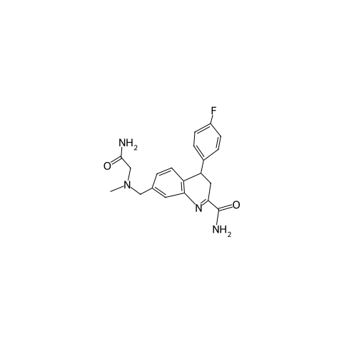 CN(CC(N)=O)Cc1ccc2c(c1)N=C(C(N)=O)CC2c1ccc(F)cc1